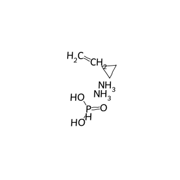 C1CC1.C=C.N.N.O=[PH](O)O